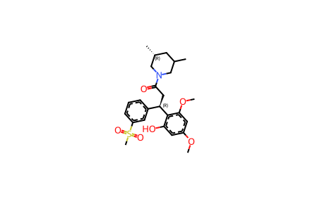 COc1cc(O)c([C@H](CC(=O)N2CC(C)C[C@@H](C)C2)c2cccc(S(C)(=O)=O)c2)c(OC)c1